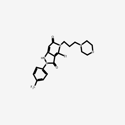 CCc1c2c(=O)n(-c3ccc(C(F)(F)F)cc3)[nH]c2cc(=O)n1CCCN1CCOCC1